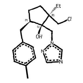 CC[C@@]1(CCl)CC[C@H](Cc2ccc(C)cc2)[C@@]1(O)Cn1cncn1